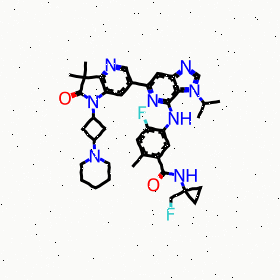 Cc1cc(F)c(Nc2nc(-c3cnc4c(c3)N(C3CC(N5CCCCC5)C3)C(=O)C4(C)C)cc3ncn(C(C)C)c23)cc1C(=O)NC1(CF)CC1